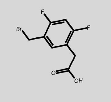 O=C(O)Cc1cc(CBr)c(F)cc1F